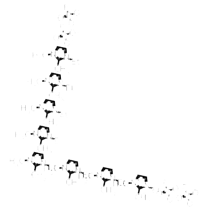 CCn1cc[n+](C)c1C.CCn1cc[n+](C)c1C.CCn1cc[n+](C)c1C.CCn1cc[n+](C)c1C.CCn1cc[n+](C)c1C.CCn1cc[n+](C)c1C.CCn1cc[n+](C)c1C.CCn1cc[n+](C)c1C.O=P([O-])([O-])F.O=P([O-])([O-])F.O=P([O-])([O-])F.O=P([O-])([O-])F